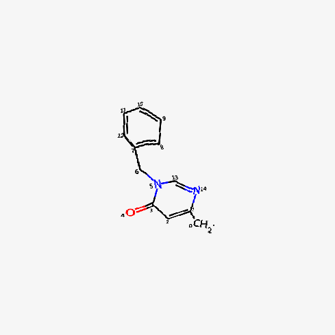 [CH2]c1cc(=O)n(Cc2ccccc2)cn1